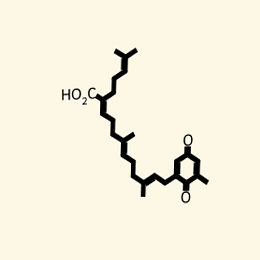 CC(C)=CCC/C(=C\CC/C(C)=C/CC/C(C)=C/CC1=CC(=O)C=C(C)C1=O)C(=O)O